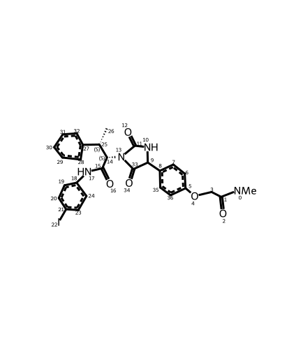 CNC(=O)COc1ccc(C2NC(=O)N([C@H](C(=O)Nc3ccc(I)cc3)[C@@H](C)c3ccccc3)C2=O)cc1